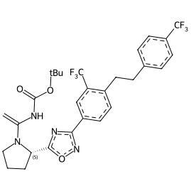 C=C(NC(=O)OC(C)(C)C)N1CCC[C@H]1c1nc(-c2ccc(CCc3ccc(C(F)(F)F)cc3)c(C(F)(F)F)c2)no1